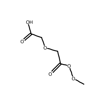 COOC(=O)COCC(=O)O